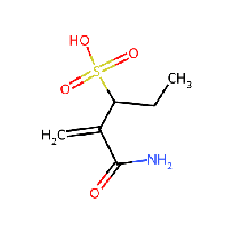 C=C(C(N)=O)C(CC)S(=O)(=O)O